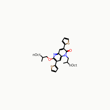 CCCCCCCCC(C)COc1nc2cc(-c3cccs3)c(=O)n(CC(C)CCCCCCCC)c2cc1-c1cccs1